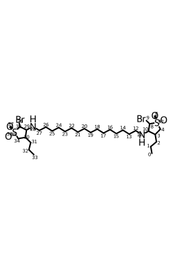 CCCC1CS(=O)(=O)C(Br)C1NCCCCCCCCCCCCCCCCNC1C(CCC)CS(=O)(=O)C1Br